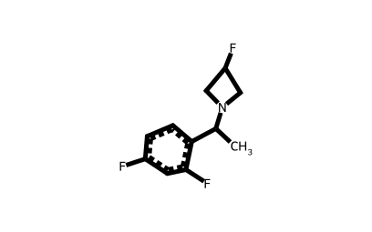 CC(c1ccc(F)cc1F)N1CC(F)C1